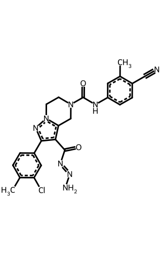 Cc1ccc(-c2nn3c(c2C(=O)N=NN)CN(C(=O)Nc2ccc(C#N)c(C)c2)CC3)cc1Cl